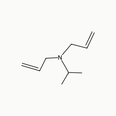 C=CCN(CC=C)[C](C)C